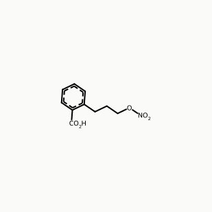 O=C(O)c1ccccc1CCCO[N+](=O)[O-]